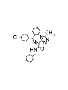 Cc1nnc2n1-c1ccccc1C(c1ccc(Cl)cc1)=NN2C(=O)NCc1ccccc1